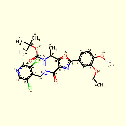 CCOc1cc(-c2nc(C(=O)NCc3c(Cl)cncc3Cl)c(C(C)NC(=O)OC(C)(C)C)o2)ccc1OC